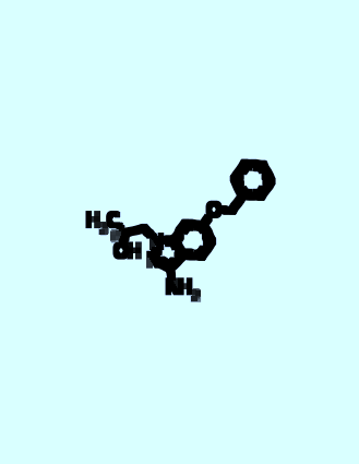 C[C@@H](O)Cn1nc(N)c2ccc(OCc3ccccc3)cc21